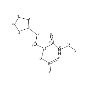 C=C(C)CC(OCC1CCCC1)C(=O)NCC